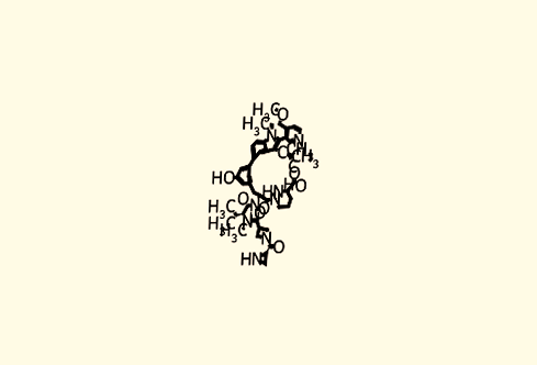 CCn1c(-c2cnccc2COC)c2c3cc(ccc31)-c1cc(O)cc(c1)C[C@H](NC(=O)[C@H](C(C)C)N(C)C(=O)C1CN(C(=O)[C@@H]3CN3)C1)C(=O)N1CCC[C@H](N1)C(=O)OCC(C)(C)C2